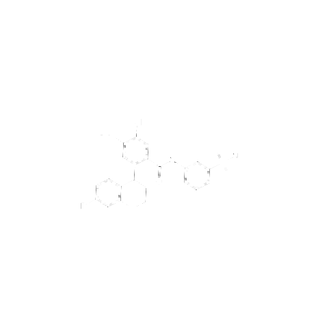 NS(=O)(=O)c1cccc(NC(=O)c2cc(Cl)c(C(F)(F)F)cc2C2CCOc3cc(F)ccc32)c1